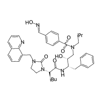 CC[C@H](C)[C@@H](C(=O)N[C@@H](Cc1ccccc1)[C@H](O)CN(CC(C)C)S(=O)(=O)c1ccc(/C=N/O)cc1)N1CCN(Cc2cccc3cccnc23)C1=O